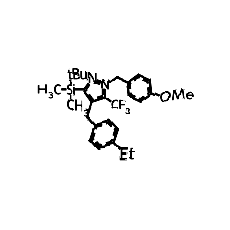 CCc1ccc(Cc2c([Si](C)(C)C(C)(C)C)nn(Cc3ccc(OC)cc3)c2C(F)(F)F)cc1